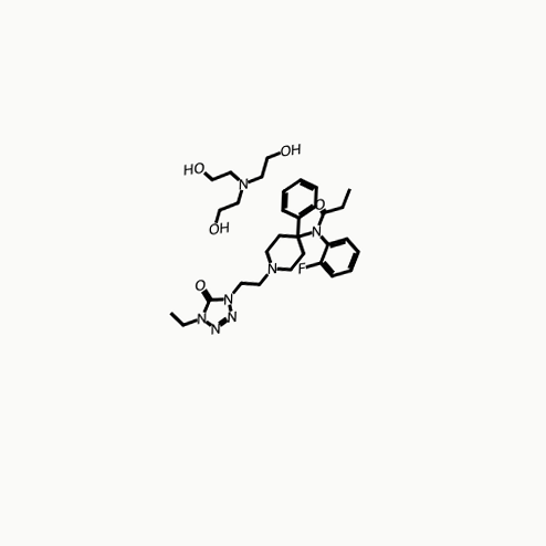 CCC(=O)N(c1ccccc1F)C1(c2ccccc2)CCN(CCn2nnn(CC)c2=O)CC1.OCCN(CCO)CCO